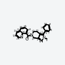 Cn1nc2c(c1-c1ccccc1)CCN(C(=O)c1cccc3cccnc13)C2